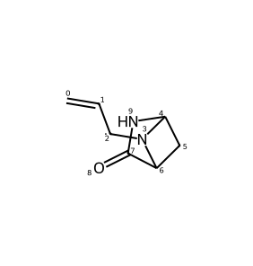 C=C[CH]N1C2CC1C(=O)N2